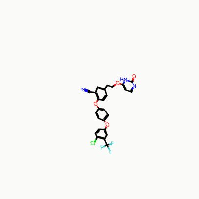 N#Cc1cc(CCOc2ccnc(=O)[nH]2)ccc1Oc1ccc(Oc2ccc(Cl)c(C(F)(F)F)c2)cc1